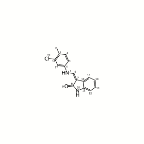 Cc1ccc(N/C=C2\C(=O)Nc3ccccc32)cc1Cl